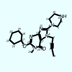 CC#CCn1c(N2CCNCC2)nc2nc(OC3CCCCC3)n(C)c(=O)c21